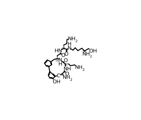 NCCC[C@H](NC(=O)C[C@@H]1Cc2cccc(c2)-c2ccc(O)c(c2)C[C@H](N)C(=O)N[C@@H](CCCN)C(=O)N1)C(=O)NCCCC[C@H](N)CO